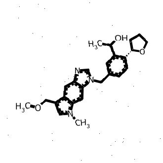 COCc1cn(C)c2cc3c(cc12)ncn3Cc1ccc([C@@H]2CCCO2)c(C(C)O)c1